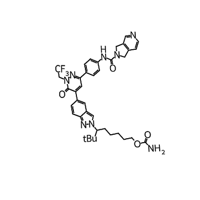 CC(C)(C)C(CCCCCOC(N)=O)n1cc2cc(-c3cc(-c4ccc(NC(=O)N5Cc6ccncc6C5)cc4)nn(CC(F)(F)F)c3=O)ccc2n1